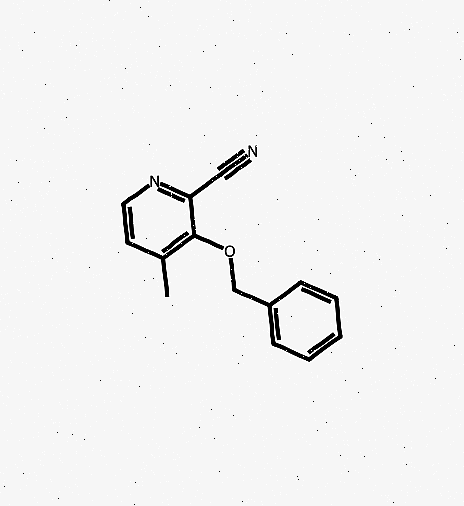 Cc1ccnc(C#N)c1OCc1ccccc1